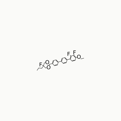 CCCC1(F)COC(c2ccc(-c3ccc(-c4ccc(OCC)c(F)c4F)cc3)cc2)OC1